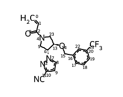 C=CC(=O)N1C[C@@H](n2ccc(C#N)n2)[C@H](OCc2cccc(C(F)(F)F)c2)C1